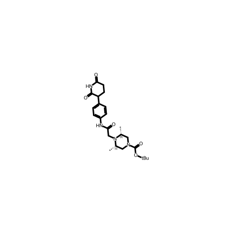 C[C@@H]1CN(C(=O)OC(C)(C)C)C[C@H](C)N1CC(=O)Nc1ccc(C2CCC(=O)NC2=O)cc1